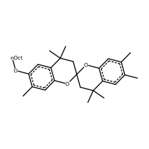 CCCCCCCCOc1cc2c(cc1C)OC1(CC(C)(C)c3cc(C)c(C)cc3O1)CC2(C)C